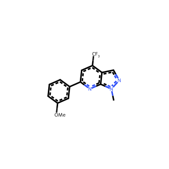 COc1cccc(-c2cc(C(F)(F)F)c3cnn(C)c3n2)c1